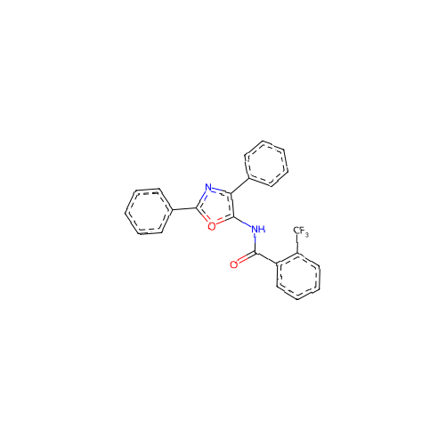 O=C(Nc1oc(-c2ccccc2)nc1-c1ccccc1)c1ccccc1C(F)(F)F